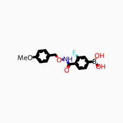 COc1ccc(CONC(=O)c2ccc(B(O)O)cc2F)cc1